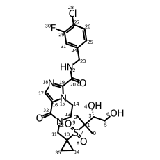 CC(C)([C@H](O)CO)S(=O)(=O)C1(CN2CCn3c(cnc3C(=O)NCc3ccc(Cl)c(F)c3)C2=O)CC1